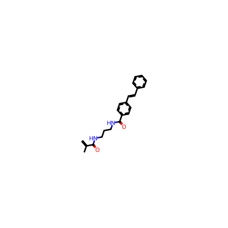 C=C(C)C(=O)NCCCNC(=O)c1ccc(C=Cc2ccccc2)cc1